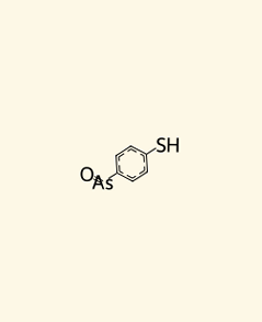 O=[As]c1ccc(S)cc1